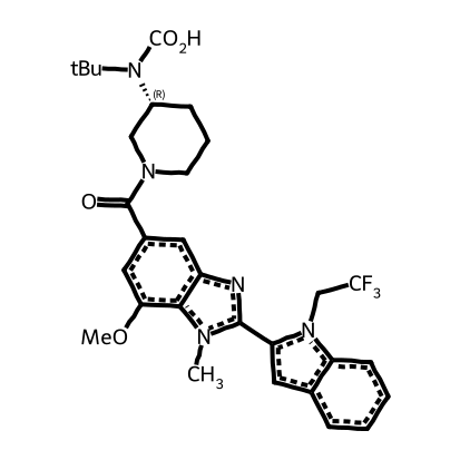 COc1cc(C(=O)N2CCC[C@@H](N(C(=O)O)C(C)(C)C)C2)cc2nc(-c3cc4ccccc4n3CC(F)(F)F)n(C)c12